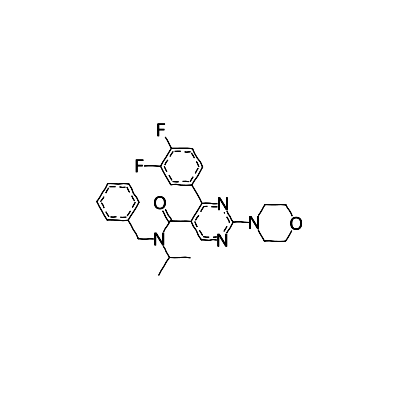 CC(C)N(Cc1ccccc1)C(=O)c1cnc(N2CCOCC2)nc1-c1ccc(F)c(F)c1